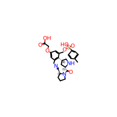 Cc1cc(OCC(=O)O)cc(C)c1[C@@H]1CN[C@H](C(=O)N2CCC[C@H]2C#N)C1.Cc1ccc(S(=O)(=O)O)cc1